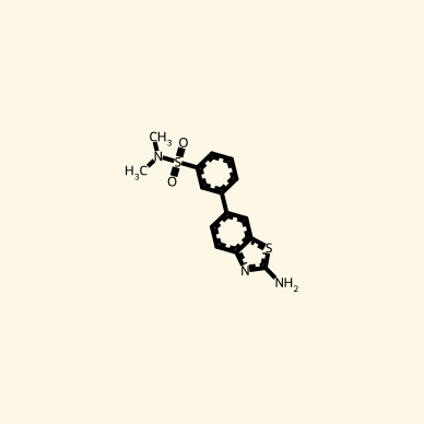 CN(C)S(=O)(=O)c1cccc(-c2ccc3nc(N)sc3c2)c1